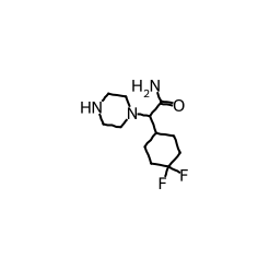 NC(=O)C(C1CCC(F)(F)CC1)N1CCNCC1